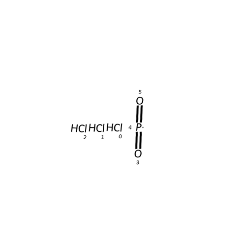 Cl.Cl.Cl.O=[P]=O